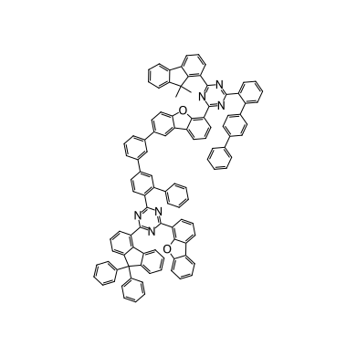 CC1(C)c2ccccc2-c2cccc(-c3nc(-c4ccccc4-c4ccc(-c5ccccc5)cc4)nc(-c4cccc5c4oc4ccc(-c6cccc(-c7ccc(-c8nc(-c9cccc%10c9-c9ccccc9C%10(c9ccccc9)c9ccccc9)nc(-c9cccc%10c9oc9ccccc9%10)n8)c(-c8ccccc8)c7)c6)cc45)n3)c21